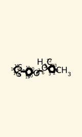 Cc1ccc(OCCOc2ccc(C3SCCCS3)cc2)c(C)c1